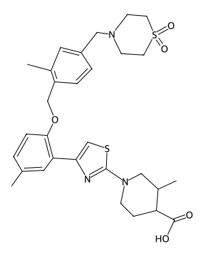 Cc1ccc(OCc2ccc(CN3CCS(=O)(=O)CC3)cc2C)c(-c2csc(N3CCC(C(=O)O)C(C)C3)n2)c1